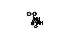 O=c1cc(Cc2ccccc2-c2ccccc2)[nH]c2n[nH]c(C3CCC3)c12